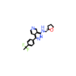 CC(F)(F)c1ccc(-c2nnc(NC[C@H]3CCCO3)c3cnccc23)cc1